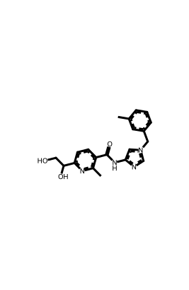 Cc1cccc(Cn2cnc(NC(=O)c3ccc(C(O)CO)nc3C)c2)c1